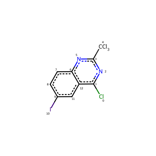 Clc1nc(C(Cl)(Cl)Cl)nc2ccc(I)cc12